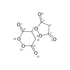 O=C1CC(=O)OO1.O=C1CCC(=O)OO1